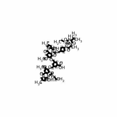 C=CCOC(=O)N[C@H](C(=O)N[C@@H](C)C(=O)Nc1ccc(COC(=O)N2c3cc(OCc4cc(COc5cc6c(cc5OC)C(=O)N5C=C(C)C[C@H]5[C@H](O)N6C(=O)OCC=C)cc(C(=O)O)c4)c(OC)cc3C(=O)N3C=C(C)C[C@H]3[C@@H]2O)cc1)C(C)C